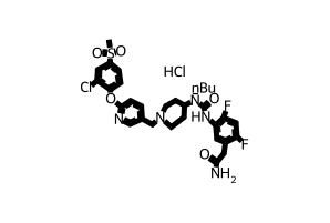 CCCCN(C(=O)Nc1cc(CC(N)=O)c(F)cc1F)C1CCN(Cc2ccc(Oc3ccc(S(C)(=O)=O)cc3Cl)nc2)CC1.Cl